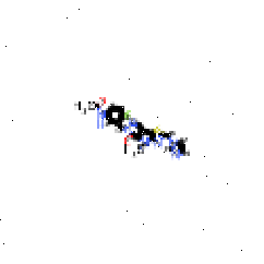 CC(=O)Nc1ccc(F)c(Cn2ncc3c4sc(Cn5ccnc5)nc4n(C)c3c2=O)c1